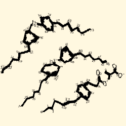 C=C(C)C(=O)[O-].CCCCCCCc1ccc(C=CC(=O)[O-])cc1.CCCCCCCc1ccc([I+]c2ccc(CCCCCCC)cc2)cc1.CCCCCCCc1ccc([I+]c2ccc(CCCCCCC)cc2)cc1